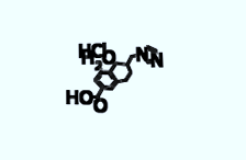 Cl.O.O=C(O)c1ccc2c(c1)CCC(Cn1ccnc1)C2